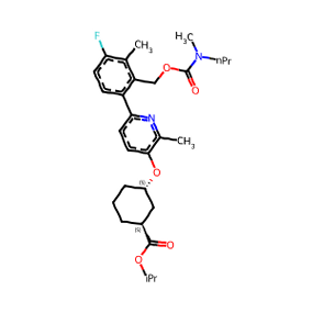 CCCN(C)C(=O)OCc1c(-c2ccc(O[C@H]3CCC[C@H](C(=O)OC(C)C)C3)c(C)n2)ccc(F)c1C